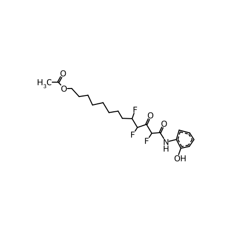 CC(=O)OCCCCCCCCC(F)C(F)C(=O)C(F)C(=O)Nc1ccccc1O